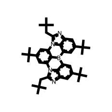 CC(C)(C)Cc1nc2cc(C(C)(C)C)cc3c2n1-c1cc(C(C)(C)C)cc2c1B3c1cc(C(C)(C)C)cc3nc(CC(C)(C)C)n-2c13